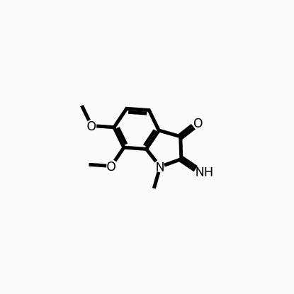 COc1ccc2c(c1OC)N(C)C(=N)C2=O